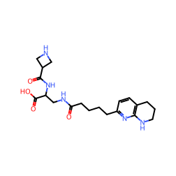 O=C(CCCCc1ccc2c(n1)NCCC2)NCC(NC(=O)C1CNC1)C(=O)O